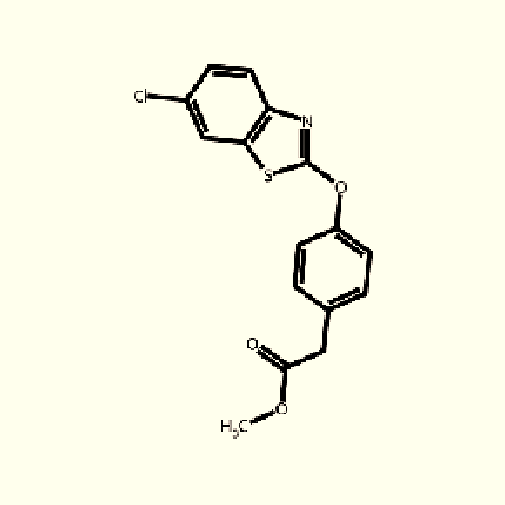 COC(=O)Cc1ccc(Oc2nc3ccc(Cl)cc3s2)cc1